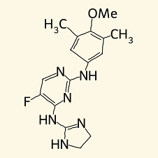 COc1c(C)cc(Nc2ncc(F)c(NC3=NCCN3)n2)cc1C